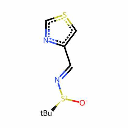 CC(C)(C)[S@+]([O-])/N=C/c1cscn1